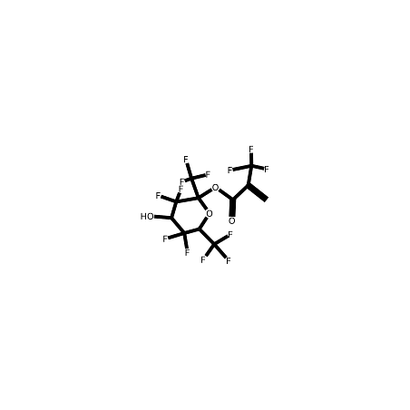 C=C(C(=O)OC1(C(F)(F)F)OC(C(F)(F)F)C(F)(F)C(O)C1(F)F)C(F)(F)F